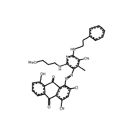 COCCCNc1nc(NCCc2ccccc2)c(C#N)c(C)c1/N=N/c1c(Cl)cc(C#N)c2c1C(=O)c1c(O)cccc1C2=O